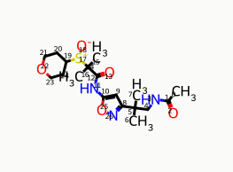 CC(=O)NCC(C)(C)c1cc(NC(=O)C(C)(C)[S+]([O-])C2CCOCC2)on1